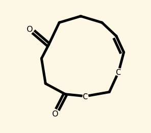 O=C1CCC/C=C\CCCC(=O)CC1